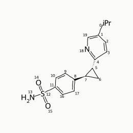 CC(C)c1ccc([C@@H]2C[C@H]2c2ccc(S(N)(=O)=O)cc2)nc1